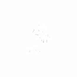 CC(N)(CCCC(=O)O)c1cccc2c1OCCO2